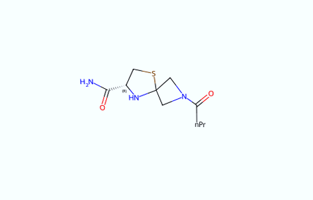 CCCC(=O)N1CC2(C1)N[C@H](C(N)=O)CS2